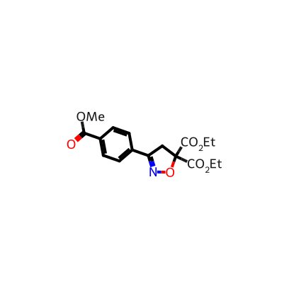 CCOC(=O)C1(C(=O)OCC)CC(c2ccc(C(=O)OC)cc2)=NO1